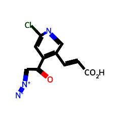 [N-]=[N+]=CC(=O)c1cc(Cl)ncc1C=CC(=O)O